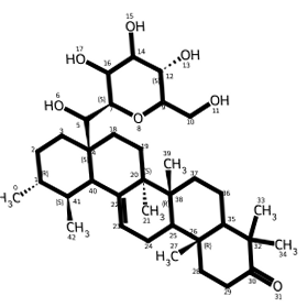 C[C@@H]1CC[C@]2(C(O)[C@@H]3OC(CO)[C@@H](O)C(O)C3O)CC[C@]3(C)C(=CCC4[C@@]5(C)CCC(=O)C(C)(C)C5CC[C@]43C)C2[C@H]1C